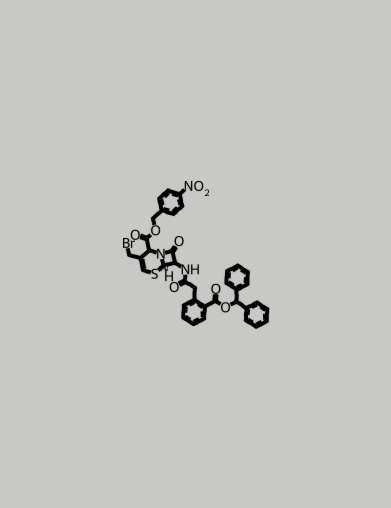 O=C(Cc1ccccc1C(=O)OC(c1ccccc1)c1ccccc1)NC1C(=O)N2C(C(=O)OCc3ccc([N+](=O)[O-])cc3)C(CBr)=CS[C@H]12